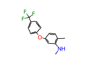 CNc1cc(Oc2ccc(C(F)(F)F)cc2)ccc1C